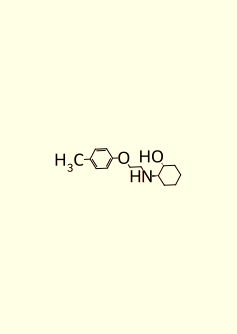 Cc1ccc(OCCN[C@@H]2CCCC[C@H]2O)cc1